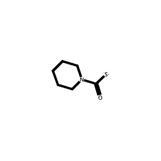 O=C([S])N1CCCCC1